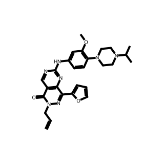 C=CCn1nc(-c2ccco2)c2nc(Nc3ccc(N4CCN(C(C)C)CC4)c(OC)c3)ncc2c1=O